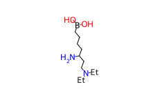 CCN(CC)CCC(N)CCCCB(O)O